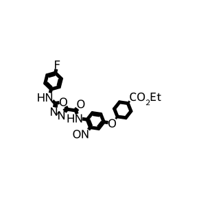 CCOC(=O)[C@H]1CC[C@@H](Oc2ccc(NC(=O)c3nnc(Nc4ccc(F)cc4)o3)c(N=O)c2)CC1